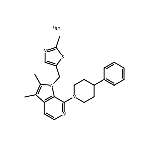 Cc1ncc(Cn2c(C)c(C)c3ccnc(N4CCC(c5ccccc5)CC4)c32)s1.Cl